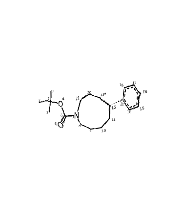 CC(C)(C)OC(=O)N1CCCC[C@@H](c2ccccc2)CCC1